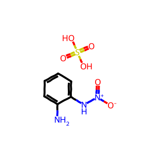 Nc1ccccc1N[N+](=O)[O-].O=S(=O)(O)O